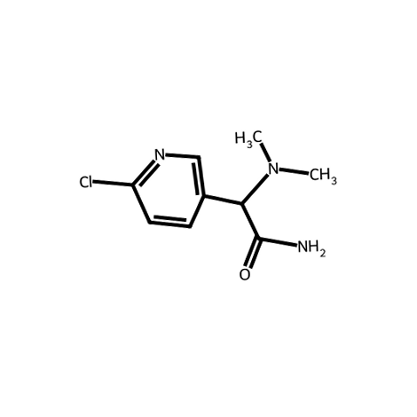 CN(C)C(C(N)=O)c1ccc(Cl)nc1